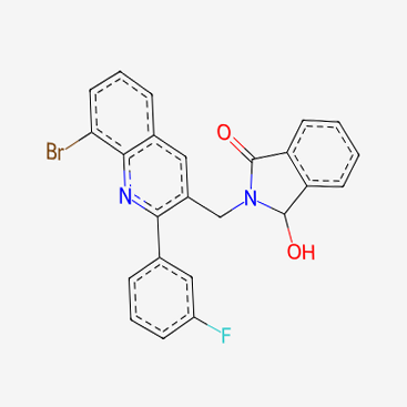 O=C1c2ccccc2C(O)N1Cc1cc2cccc(Br)c2nc1-c1cccc(F)c1